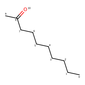 CC[CH]CCCCCC(C)=O